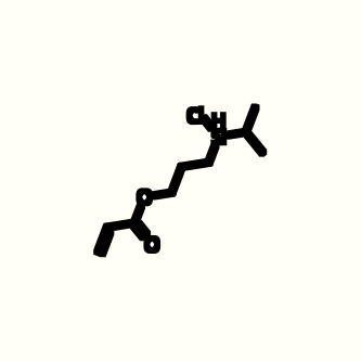 C=CC(=O)OCCC[SiH](Cl)C(C)C